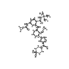 BC(B)(B)NC(=O)c1nnc(NC(=O)C2CC2)cc1Nc1cccc(-c2noc(C(=O)N3CCS(=O)(=O)CC3)n2)c1OC